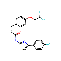 O=C(/C=C\c1ccc(OCC(F)F)cc1)Nc1nc(-c2ccc(F)cc2)cs1